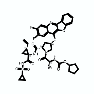 C=C[C@@H]1C[C@]1(NC(=O)[C@@H]1C[C@@H](Oc2c3cc(F)c(F)cc3nc3c2oc2ccccc23)CN1C(=O)[C@@H](NC(=O)OC1CCCC1)C(C)C)C(=O)NS(=O)(=O)C1CC1